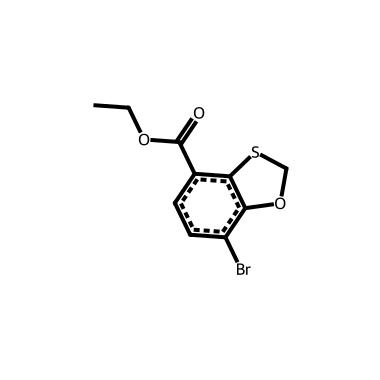 CCOC(=O)c1ccc(Br)c2c1SCO2